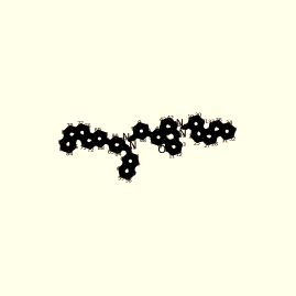 c1cc(-c2ccc3c(c2)oc2cccc(-c4nc(-c5cccc6c5ccc5ccc7c8ccccc8ccc7c56)nc5ccccc45)c23)cc(-c2nc(-c3ccc4ccccc4c3)c3ccc(-c4ccc5c(ccc6c5ccc5ccc7ccccc7c56)c4)cc3n2)c1